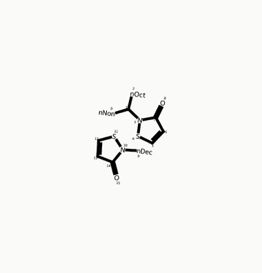 CCCCCCCCCC(CCCCCCCC)n1sccc1=O.CCCCCCCCCCn1sccc1=O